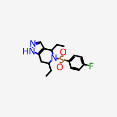 CCC1Cc2[nH]ncc2C(CC)N1S(=O)(=O)c1ccc(F)cc1